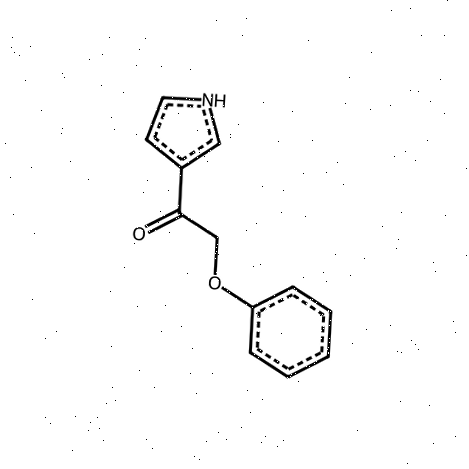 O=C(COc1ccccc1)c1cc[nH]c1